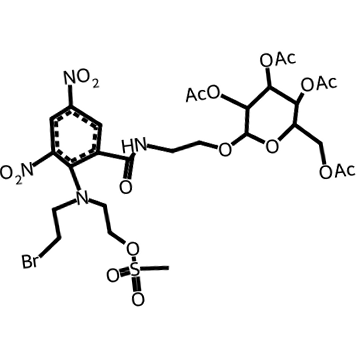 CC(=O)OCC1OC(OCCNC(=O)c2cc([N+](=O)[O-])cc([N+](=O)[O-])c2N(CCBr)CCOS(C)(=O)=O)C(OC(C)=O)C(OC(C)=O)C1OC(C)=O